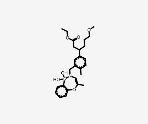 CCOC(=O)CC(CCCOC)c1ccc(C)c(CN2C=C(C)Oc3ccccc3S2(O)O)c1